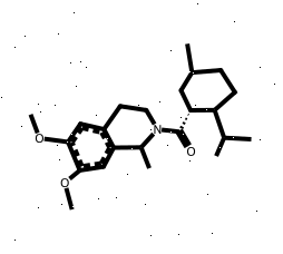 COc1cc2c(cc1OC)C(C)N(C(=O)[C@@H]1CC(C)CCC1C(C)C)CC2